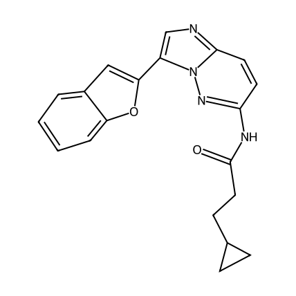 O=C(CCC1CC1)Nc1ccc2ncc(-c3cc4ccccc4o3)n2n1